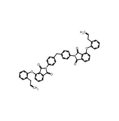 C=CCc1ccccc1Oc1cccc2c1C(=O)N(c1ccc(Cc3ccc(N4C(=O)c5cccc(Oc6ccccc6CC=C)c5C4=O)cc3)cc1)C2=O